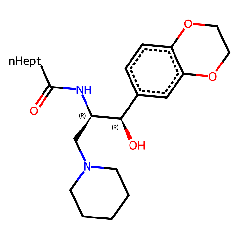 CCCCCCCC(=O)N[C@H](CN1CCCCC1)[C@H](O)c1ccc2c(c1)OCCO2